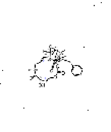 C[C@H]1C/C=C/[C@H]2[C@@H]3O[C@]3(C)[C@@H](C)[C@H]3[C@H](Cc4ccccc4)NC(=O)[C@]32OC(=O)O/C=C/[C@@](C)(O)C1=O